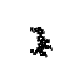 COC(C)CC(COc1ccc(-c2ccnc(C)c2)cc1C#N)OC(N)=O